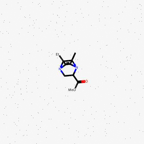 CCC1=C(C)N2CCN1CC2C(=O)OC